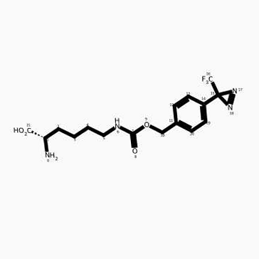 N[C@@H](CCCCNC(=O)OCc1ccc(C2(C(F)(F)F)N=N2)cc1)C(=O)O